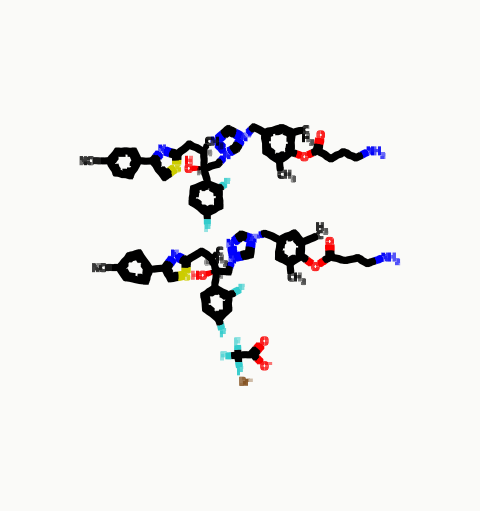 Cc1cc(C[n+]2cnn(C[C@](O)(c3ccc(F)cc3F)[C@H](C)Cc3nc(-c4ccc(C#N)cc4)cs3)c2)cc(C)c1OC(=O)CCCN.Cc1cc(C[n+]2cnn(C[C@](O)(c3ccc(F)cc3F)[C@H](C)Cc3nc(-c4ccc(C#N)cc4)cs3)c2)cc(C)c1OC(=O)CCCN.O=C([O-])C(F)(F)F.[Br-]